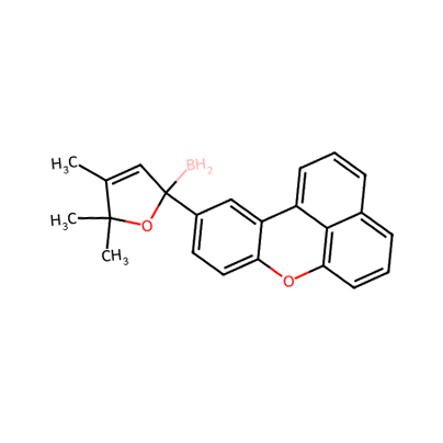 BC1(c2ccc3c(c2)-c2cccc4cccc(c24)O3)C=C(C)C(C)(C)O1